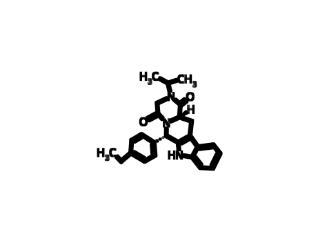 CCc1ccc([C@H]2c3[nH]c4ccccc4c3C[C@H]3C(=O)N(C(C)C)CC(=O)N23)cc1